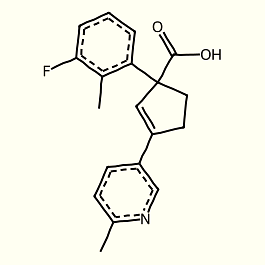 Cc1ccc(C2=CC(C(=O)O)(c3cccc(F)c3C)CC2)cn1